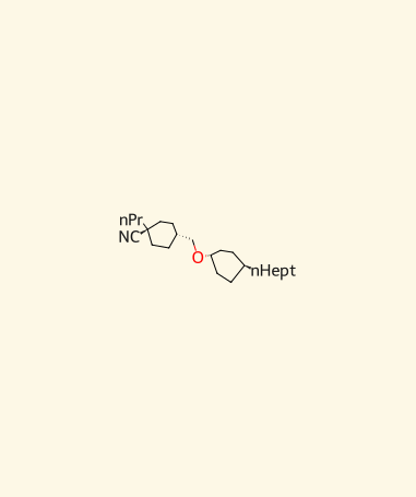 CCCCCCC[C@H]1CC[C@H](OC[C@H]2CC[C@@](C#N)(CCC)CC2)CC1